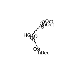 CCCCCCCCCCCOC(=O)CCCCCN1CC[C@@H](O)C(CCCCCCCC(=O)OC(CCCCCCCC)CCCCCCCC)C1=O